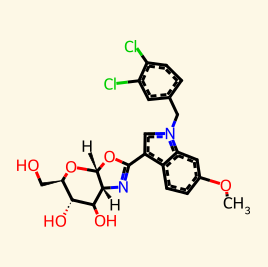 COc1ccc2c(C3=N[C@@H]4C(O)[C@H](O)[C@@H](CO)O[C@@H]4O3)cn(Cc3ccc(Cl)c(Cl)c3)c2c1